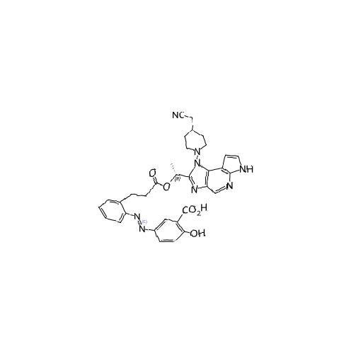 C[C@@H](OC(=O)CCc1ccccc1/N=N/c1ccc(O)c(C(=O)O)c1)c1nc2cnc3[nH]ccc3c2n1N1CCC(CC#N)CC1